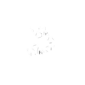 CC(C)(c1cc(Br)c(O)c(Br)c1)c1cc(Br)c(O)c(Br)c1.Oc1ccc(C2(c3ccc(O)cc3)CCCC2)cc1